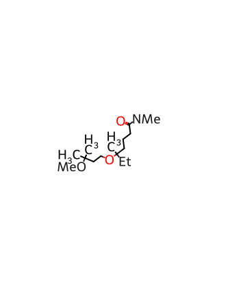 CCC(C)(CCCC(=O)NC)OCCC(C)(C)OC